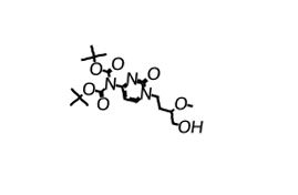 COC(CO)CCn1ccc(N(C(=O)OC(C)(C)C)C(=O)OC(C)(C)C)nc1=O